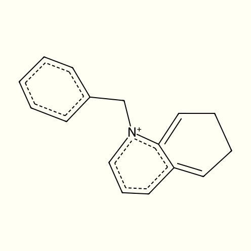 C1=c2ccc[n+](Cc3ccccc3)c2=CCC1